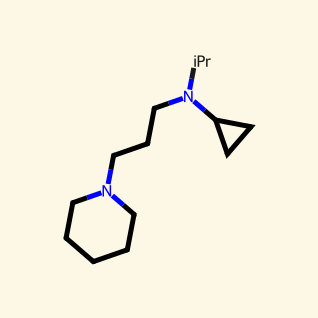 CC(C)N(CCCN1CCCCC1)C1CC1